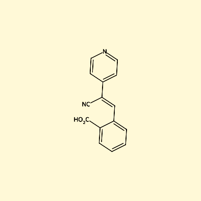 N#CC(=Cc1ccccc1C(=O)O)c1ccncc1